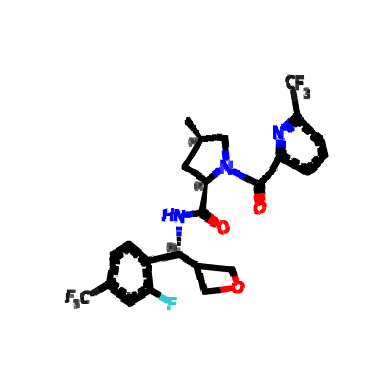 C[C@@H]1C[C@H](C(=O)N[C@@H](c2ccc(C(F)(F)F)cc2F)C2COC2)N(C(=O)c2cccc(C(F)(F)F)n2)C1